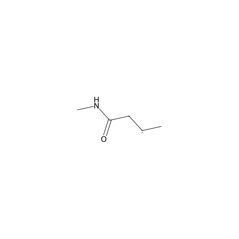 C[CH]CC(=O)NC